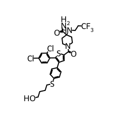 NC(=O)C1(NCCC(F)(F)F)CCN(C(=O)c2cc(-c3ccc(SCCCCO)cc3)c(-c3ccc(Cl)cc3Cl)s2)CC1